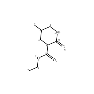 CCOC(=O)C1CC(C)CNC1=O